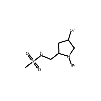 CC(C)N1CC(O)CC1CNS(C)(=O)=O